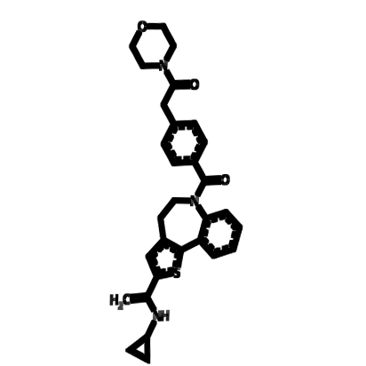 C=C(NC1CC1)c1cc2c(s1)-c1ccccc1N(C(=O)c1ccc(CC(=O)N3CCOCC3)cc1)CC2